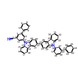 N#Cc1cc(-c2ccccc2)cc(-n2c3ccccc3c3cc(-c4ccc5c(c4)c4ccccc4n5-c4cccc(-c5ccccc5)c4)ccc32)c1